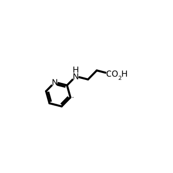 O=C(O)CCNc1[c]cccn1